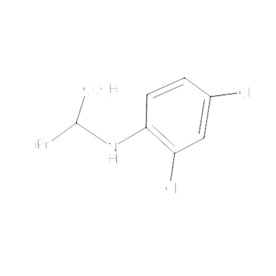 CC(C)C(Nc1ccc(Cl)cc1Cl)C(=O)O